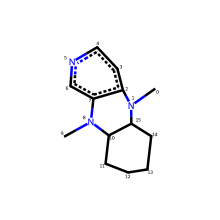 CN1c2ccncc2N(C)C2CCCCC21